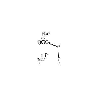 O=C([O-])CF.[F-].[Na+].[Na+]